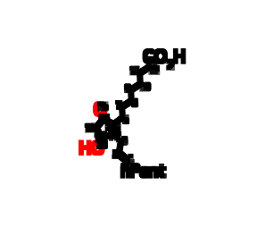 CCCCCC=CC[C@H]1[C@H](CCCCCCCC(=O)O)C(=O)C[C@@H]1O